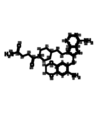 Bc1cc2c(cc1Sc1nc3c(N)ncnc3n1CCC1CCN(C(=O)CCC(N)=O)CC1)OCCO2